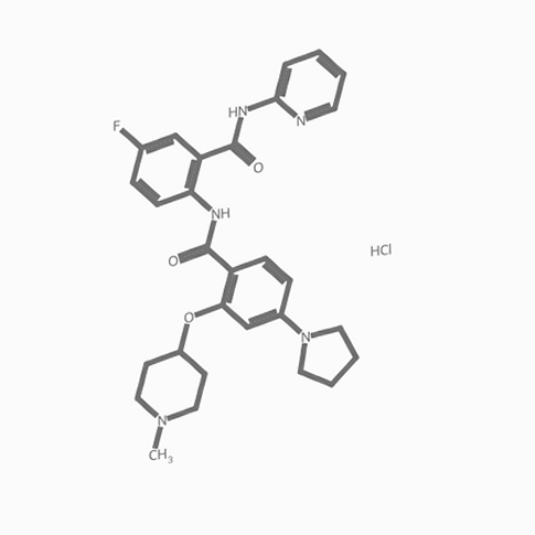 CN1CCC(Oc2cc(N3CCCC3)ccc2C(=O)Nc2ccc(F)cc2C(=O)Nc2ccccn2)CC1.Cl